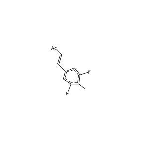 CC(=O)/C=C/c1cc(F)c(C)c(F)c1